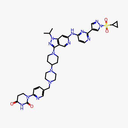 CC(C)n1nc(N2CCC(N3CCN(Cc4ccc(N5CCC(=O)NC5=O)nc4)CC3)CC2)c2cnc(Nc3ccnc(-c4cnn(S(=O)(=O)C5CC5)c4)n3)cc21